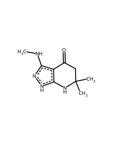 CNc1n[nH]c2c1C(=O)CC(C)(C)N2